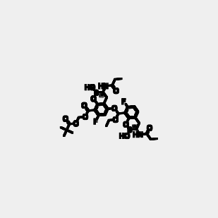 CCOC(Oc1cc(F)c(C(=O)OCOC(=O)C(C)(C)C)c2c1C[C@H](NC(=O)CC)B(O)O2)c1c(F)ccc2c1OB(O)[C@@H](NC(=O)CC)C2